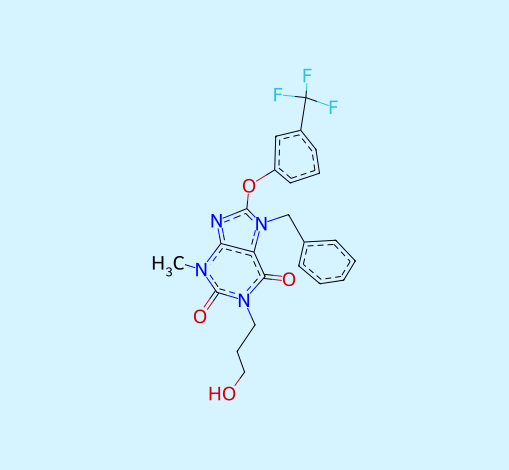 Cn1c(=O)n(CCCO)c(=O)c2c1nc(Oc1cccc(C(F)(F)F)c1)n2Cc1ccccc1